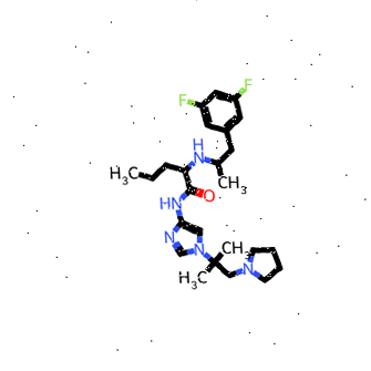 CCCC(NC(C)Cc1cc(F)cc(F)c1)C(=O)Nc1cn(C(C)(C)CN2CCCC2)cn1